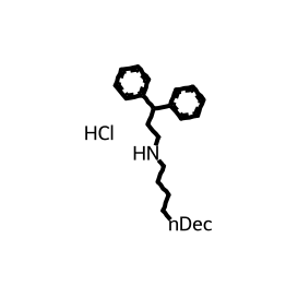 CCCCCCCCCCCCCCNCCC(c1ccccc1)c1ccccc1.Cl